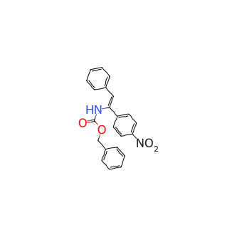 O=C(NC(=Cc1ccccc1)c1ccc([N+](=O)[O-])cc1)OCc1ccccc1